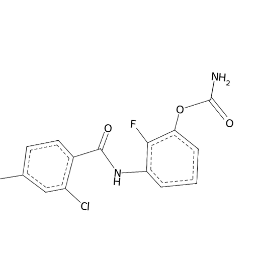 NC(=O)Oc1cccc(NC(=O)c2ccc(F)cc2Cl)c1F